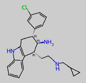 N[C@@H]1[C@@H](c2cccc(Cl)c2)Cc2[nH]c3ccccc3c2[C@H]1CCNCC1CC1